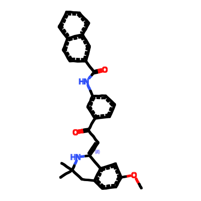 COc1ccc2c(c1)/C(=C/C(=O)c1cccc(NC(=O)c3ccc4ccccc4c3)c1)NC(C)(C)C2